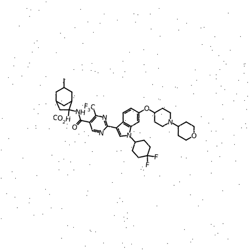 CC1CC2CC(C1)C(NC(=O)c1cnc(-c3cn(C4CCC(F)(F)CC4)c4cc(OC5CCN(C6CCOCC6)CC5)ccc34)nc1C(F)(F)F)(C(=O)O)C2